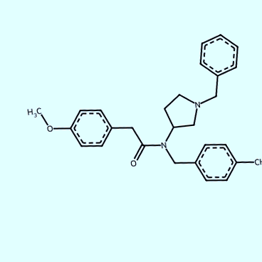 COc1ccc(CC(=O)N(Cc2ccc(C)cc2)C2CCN(Cc3ccccc3)C2)cc1